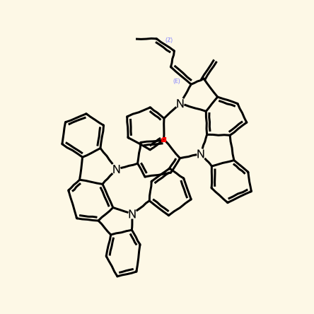 C=c1/c(=C\C=C/C)n(-c2ccccc2)c2c1ccc1c3ccccc3n(-c3ccc(-n4c5ccccc5c5ccc6c7ccccc7n(-c7ccccc7)c6c54)cc3)c12